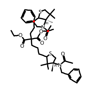 CCOC(=O)C(CCCC1SC[C@](C)(N(Cc2ccccc2)C(C)=O)C1(C)C)(CCCC1SCC(C)(C)[C@@]1(C)N(Cc1ccccc1)C(C)=O)C(=O)OCC